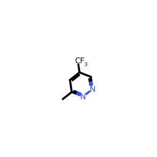 Cc1cc(C(F)(F)F)cnn1